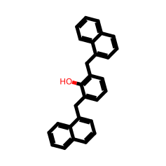 Oc1c(Cc2cccc3ccccc23)cccc1Cc1cccc2ccccc12